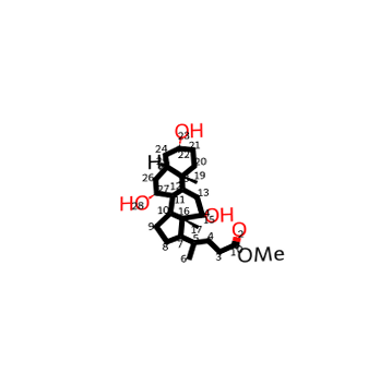 COC(=O)CCC(C)C1CCC2C3C(C[C@H](O)[C@]12C)[C@@]1(C)CC[C@@H](O)C[C@H]1C[C@H]3O